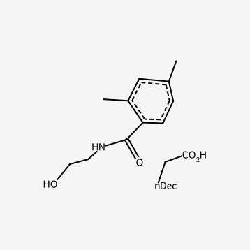 CCCCCCCCCCCC(=O)O.Cc1ccc(C(=O)NCCO)c(C)c1